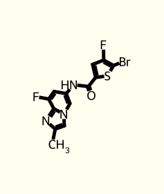 Cc1cn2cc(NC(=O)c3cc(F)c(Br)s3)cc(F)c2n1